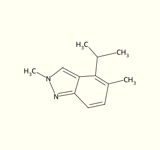 Cc1ccc2nn(C)cc2c1C(C)C